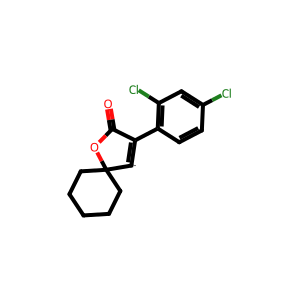 O=C1OC2([C]=C1c1ccc(Cl)cc1Cl)CCCCC2